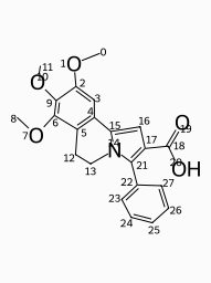 COc1cc2c(c(OC)c1OC)CCn1c-2cc(C(=O)O)c1-c1ccccc1